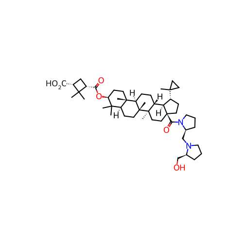 CC1([C@@H]2CC[C@]3(C(=O)N4CCC[C@H]4CN4CCC[C@H]4CO)CC[C@]4(C)[C@H](CC[C@@H]5[C@@]6(C)CC[C@H](OC(=O)[C@H]7C[C@@H](C(=O)O)C7(C)C)C(C)(C)[C@@H]6CC[C@]54C)[C@@H]23)CC1